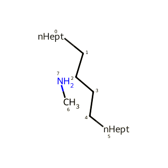 CCCCCCCCCCCCCCCCCC.CN